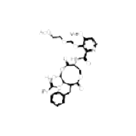 COc1ccnc(C(=O)N[C@H]2COC(=O)C(Cc3ccccc3)[C@@H](OC(=O)C(C)C)[C@H](C)OC2=O)c1OCOCCOC(C)=O